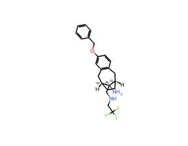 N[C@@]1(CNCC(F)(F)F)[C@@H]2CC[C@H]1Cc1ccc(OCc3ccccc3)cc1C2